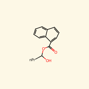 CCCC(O)OC(=O)c1cccc2ccccc12